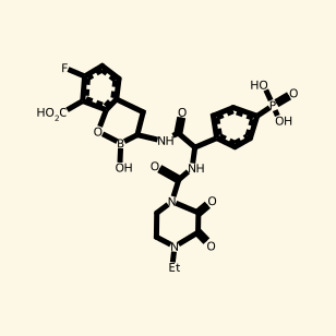 CCN1CCN(C(=O)NC(C(=O)NC2Cc3ccc(F)c(C(=O)O)c3OB2O)c2ccc(P(=O)(O)O)cc2)C(=O)C1=O